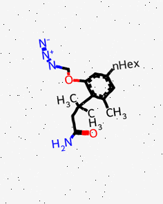 CCCCCCc1cc(C)c(C(C)(C)CC(N)=O)c(OCN=[N+]=[N-])c1